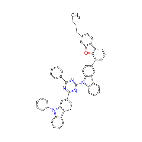 CCCCc1ccc2c(c1)oc1c(-c3ccc4c(c3)c3ccccc3n4-c3nc(-c4ccccc4)nc(-c4ccc5c6ccccc6n(-c6ccccc6)c5c4)n3)cccc12